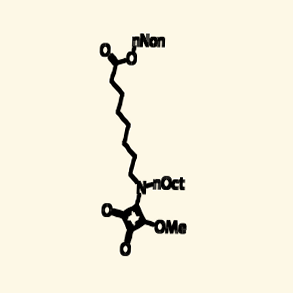 CCCCCCCCCOC(=O)CCCCCCCN(CCCCCCCC)c1c(OC)c(=O)c1=O